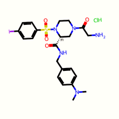 CN(C)c1ccc(CNC(=O)[C@H]2CN(C(=O)CN)CCN2S(=O)(=O)c2ccc(I)cc2)cc1.Cl